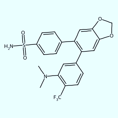 CN(C)c1cc(-c2cc3c(cc2-c2ccc(S(N)(=O)=O)cc2)OCO3)ccc1C(F)(F)F